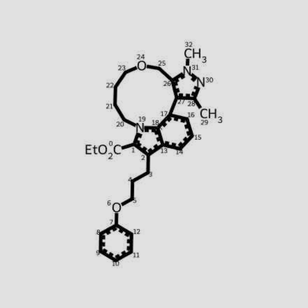 CCOC(=O)c1c(CCCOc2ccccc2)c2cccc3c2n1CCCCOCc1c-3c(C)nn1C